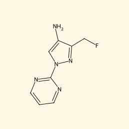 Nc1cn(-c2ncccn2)nc1CF